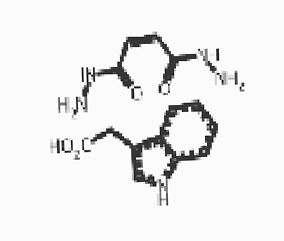 NNC(=O)/C=C\C(=O)NN.O=C(O)Cc1c[nH]c2ccccc12